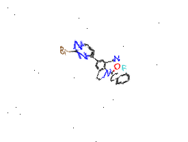 N#Cc1cc(-c2ccnc(Br)n2)cc2c1N(C(=O)Cc1ccccc1F)CC2